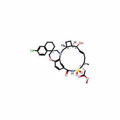 COC(=O)C[C@H]1[C@H](C)C/C=C/[C@H](O)[C@@H]2CC[C@H]2CN2C[C@@]3(CCCc4cc(Cl)ccc43)COc3ccc(cc32)C(=O)NS1(=O)=O